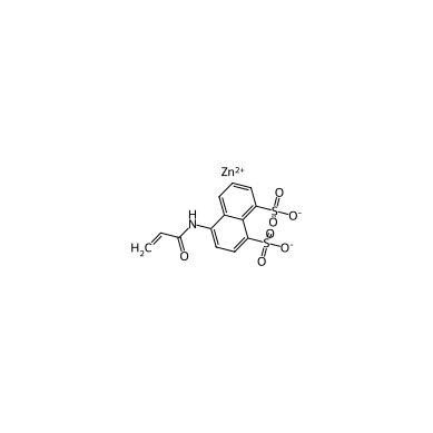 C=CC(=O)Nc1ccc(S(=O)(=O)[O-])c2c(S(=O)(=O)[O-])cccc12.[Zn+2]